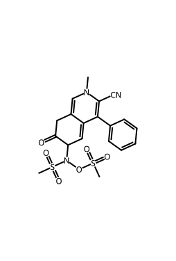 CN1C=C2CC(=O)C(N(OS(C)(=O)=O)S(C)(=O)=O)C=C2C(c2ccccc2)=C1C#N